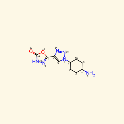 NC1CCC(n2cc(-c3n[nH]c(=O)o3)nn2)CC1